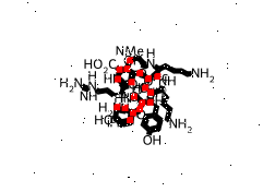 CNC(Cc1ccccc1CC(NN[C@@H](Cc1ccc(O)cc1)C(=O)C(=O)[C@H](CC(C)C)NN)C(C)=O)C(=O)NC(CCCCN)C(=O)N[C@@H](CCCCN)C(=O)NC(Cc1ccc(O)cc1)C(=O)N[C@@H](CCCNC(=N)N)C(=O)NC(CO)C(=O)O